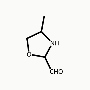 CC1COC(C=O)N1